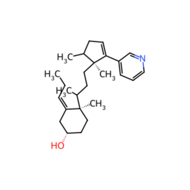 CC/C=C1/C[C@@H](O)CC[C@]1(C)C(C)CC[C@]1(C)C(c2cccnc2)=CCC1C